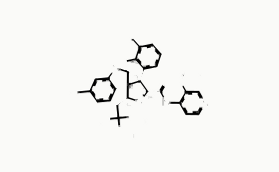 COc1cnccc1NC(=O)[C@@H]1N[C@@H](CC(C)(C)C)[C@@]2(C(=O)Nc3cc(Cl)ccc32)[C@H]1c1cccc(Cl)c1F